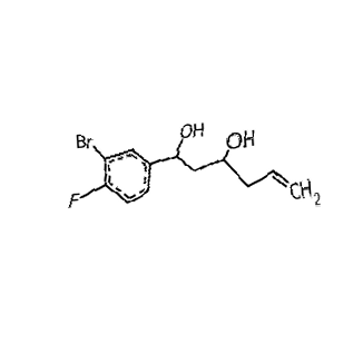 C=CCC(O)CC(O)c1ccc(F)c(Br)c1